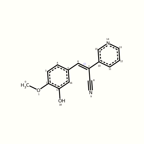 COc1ccc(/C=C(\C#N)c2cccnc2)cc1O